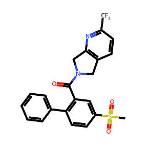 CS(=O)(=O)c1ccc(-c2ccccc2)c(C(=O)N2Cc3ccc(C(F)(F)F)nc3C2)c1